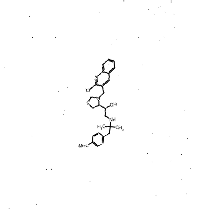 COc1ccc(CC(C)(C)NCC(O)C2CSCN2Cc2cc3ccccc3nc2Cl)cc1